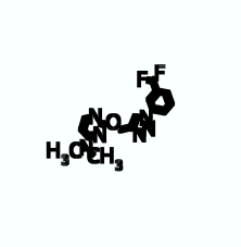 CN(C)c1ccnc(OCc2cn(-c3cccc(C(F)F)c3)nn2)n1